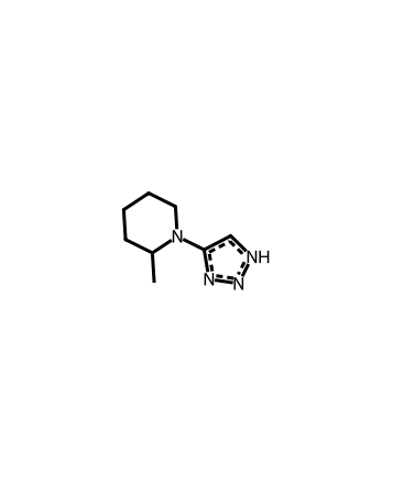 CC1CCCCN1c1c[nH]nn1